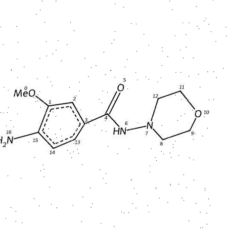 COc1cc(C(=O)NN2CCOCC2)ccc1N